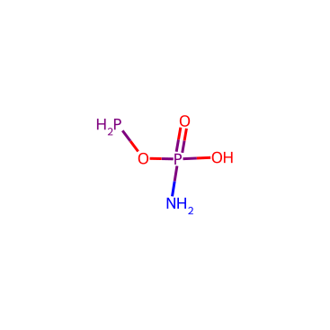 NP(=O)(O)OP